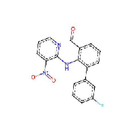 O=Cc1cccc(-c2cccc(F)c2)c1Nc1ncccc1[N+](=O)[O-]